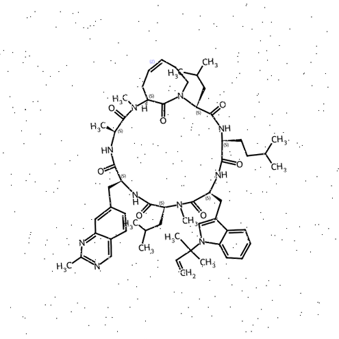 C=CC(C)(C)n1cc(C[C@@H]2NC(=O)[C@H](CCC(C)C)NC(=O)[C@H](CC(C)C)N3CC/C=C\C[C@@H](C3=O)N(C)C(=O)[C@H](C)NC(=O)[C@H](Cc3ccc4cnc(C)nc4c3)NC(=O)[C@H](CC(C)C)N(C)C2=O)c2ccccc21